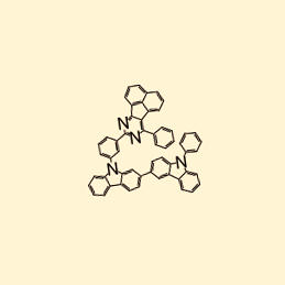 c1ccc(-c2nc(-c3cccc(-n4c5ccccc5c5ccc(-c6ccc7c(c6)c6ccccc6n7-c6ccccc6)cc54)c3)nc3c2-c2cccc4cccc-3c24)cc1